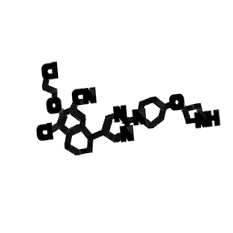 N#Cc1cc2c(c(Cl)c1OCCCl)CCCC2c1cnc(N2CCC(OC3CNC3)CC2)nc1